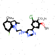 CCCOc1cc(-c2cc(NCCn3c(C)cc4c(OC)ccc(F)c43)ncn2)cc(Cl)c1C(=O)O